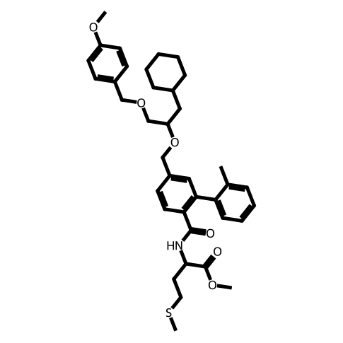 COC(=O)C(CCSC)NC(=O)c1ccc(COC(COCc2ccc(OC)cc2)CC2CCCCC2)cc1-c1ccccc1C